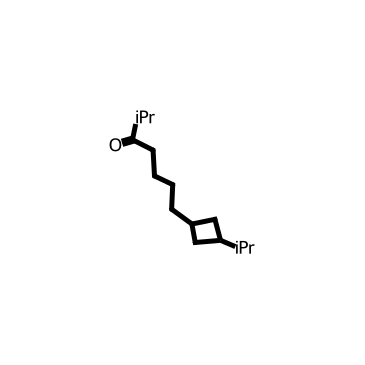 CC(C)C(=O)CCCCC1CC(C(C)C)C1